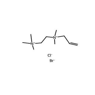 C=CC[N+](C)(C)CC[N+](C)(C)C.[Br-].[Cl-]